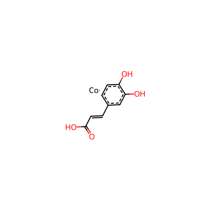 O=C(O)C=Cc1ccc(O)c(O)c1.[Co]